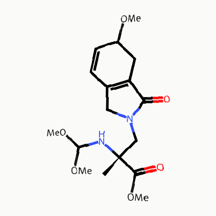 COC(=O)[C@@](C)(CN1CC2=C(CC(OC)C=C2)C1=O)NC(OC)OC